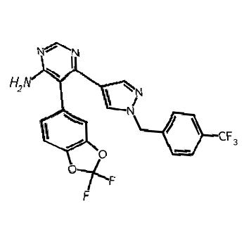 Nc1ncnc(-c2cnn(Cc3ccc(C(F)(F)F)cc3)c2)c1-c1ccc2c(c1)OC(F)(F)O2